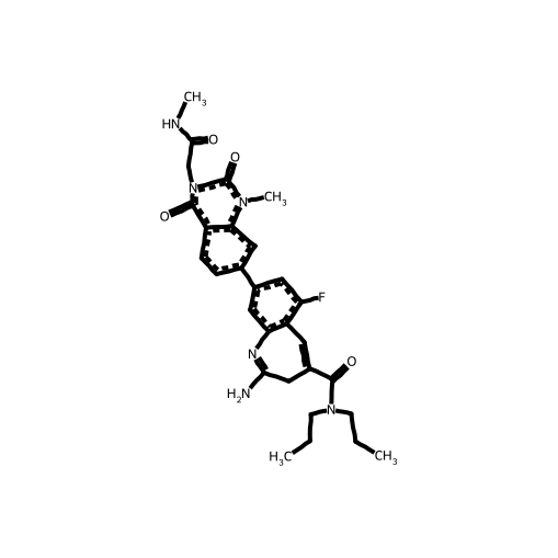 CCCN(CCC)C(=O)C1=Cc2c(F)cc(-c3ccc4c(=O)n(CC(=O)NC)c(=O)n(C)c4c3)cc2N=C(N)C1